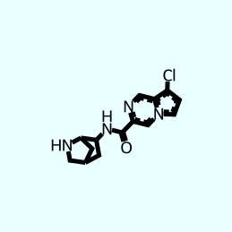 O=C(NC1CC2CNC1C2)c1cn2ccc(Cl)c2cn1